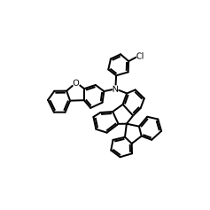 Clc1cccc(N(c2ccc3c(c2)oc2ccccc23)c2cccc3c2-c2ccccc2C32c3ccccc3-c3ccccc32)c1